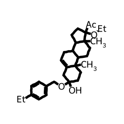 CCOC1(C(C)=O)CCC2C3CC=C4CC(O)(OCc5ccc(CC)cc5)CCC4(C)C3CCC21C